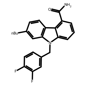 CCCCc1c[c]c2c3c(C(N)=O)cccc3n(Cc3ccc(F)c(F)c3)c2c1